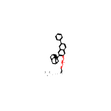 COCCOCOc1cc2ccc(-c3ccccc3)cc2cc1C12CC3CC(CC(C3)C1)C2